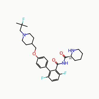 CC(C)(F)CN1CCC(COc2ccc(-c3c(F)ccc(F)c3C(=O)NC(=O)[C@@H]3CCCCN3)cc2)CC1